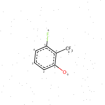 [O]c1cccc(F)c1C(F)(F)F